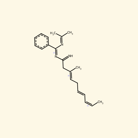 C/C=C\C=CC/C=C(\C)CC(=N)/N=C(\N=C(C)C)c1ccccc1